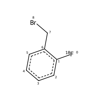 [18F]c1ccccc1CBr